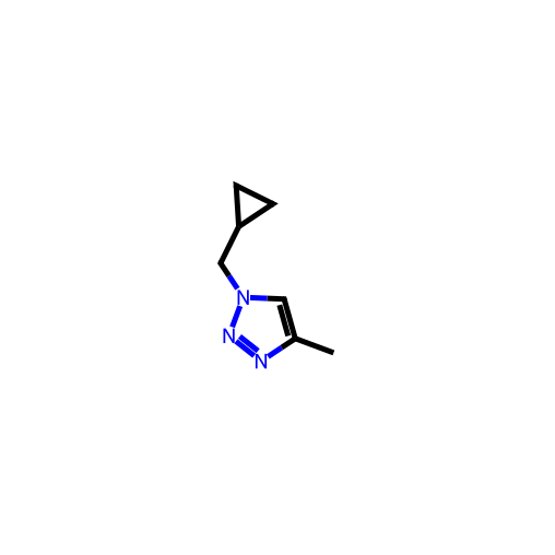 Cc1cn(CC2CC2)nn1